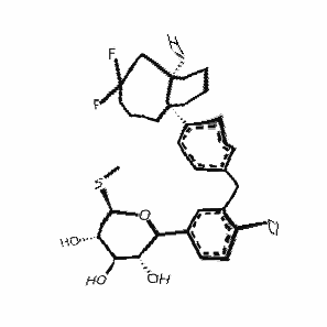 CS[C@H]1OC(c2ccc(Cl)c(Cc3ccc([C@@]45CC[C@@H]4CC(F)(F)CC5)cc3)c2)[C@H](O)[C@@H](O)[C@@H]1O